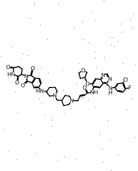 O=C(/C=C/CN1CCC(CN2CCC[C@@H](Nc3ccc4c(c3)C(=O)N(C3CCC(=O)NC3=O)C4=O)C2)CC1)Nc1cc2c(Nc3ccc(F)c(Cl)c3)ncnc2cc1OC1CCOC1